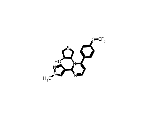 Cn1cc(C2N=CC=C(c3ccc(OC(F)(F)F)cc3)N2[C@@H]2CSC[C@@H]2O)cn1